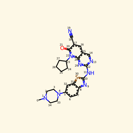 CN1CCN(c2ccc3nc(Nc4ncc5cc(C#N)c(=O)n(C6CCCC6)c5n4)sc3c2)CC1